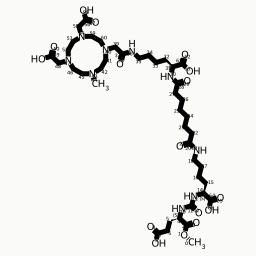 COC(=O)[C@H](CCC(=O)O)NC(=O)N[C@@H](CCCCNC(=O)CCCCCCC(=O)N[C@@H](CCCCNC(=O)CN1CCN(C)CCN(CC(=O)O)CCN(CC(=O)O)CC1)C(=O)O)C(=O)O